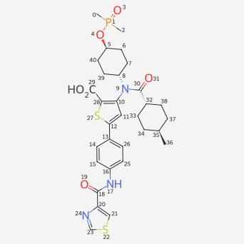 CP(C)(=O)O[C@H]1CC[C@H](N(c2cc(-c3ccc(NC(=O)c4cscn4)cc3)sc2C(=O)O)C(=O)[C@H]2CC[C@H](C)CC2)CC1